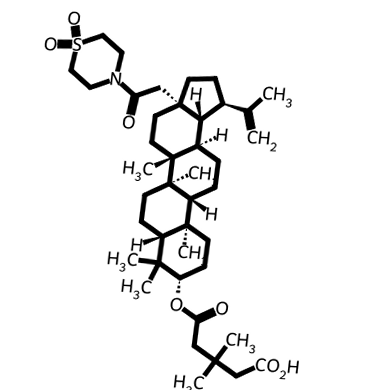 C=C(C)[C@@H]1CC[C@]2(CC(=O)N3CCS(=O)(=O)CC3)CC[C@]3(C)[C@H](CC[C@@H]4[C@@]5(C)CC[C@H](OC(=O)CC(C)(C)CC(=O)O)C(C)(C)[C@@H]5CC[C@]43C)[C@@H]12